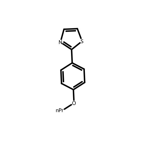 CCCOc1ccc(-c2nccs2)cc1